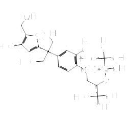 CCC(CC)(c1ccc(OCC(O[Si](C)(C)C(C)(C)C)C(C)(C)C)c(C)c1)c1cc(C)c(CO)s1